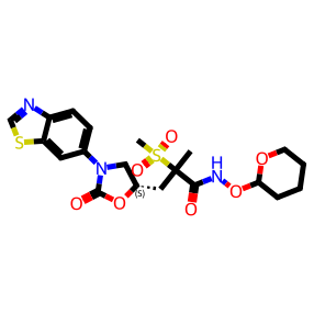 CC(C[C@H]1CN(c2ccc3ncsc3c2)C(=O)O1)(C(=O)NOC1CCCCO1)S(C)(=O)=O